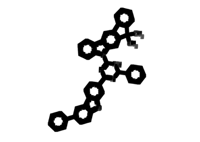 CC1(C)c2ccccc2-c2cc3c4ccccc4n(C4=NC(c5ccc6c(c5)oc5ccc(-c7ccccc7)cc56)=NC(c5ccccc5)N4)c3cc21